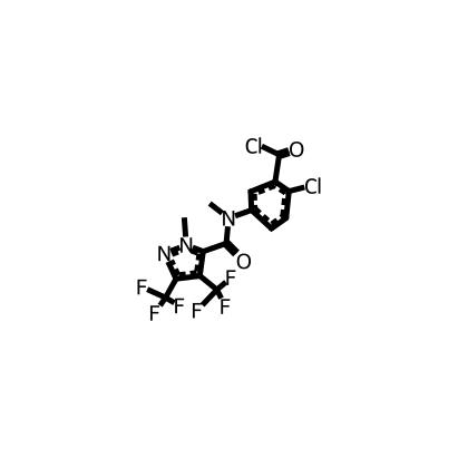 CN(C(=O)c1c(C(F)(F)F)c(C(F)(F)F)nn1C)c1ccc(Cl)c(C(=O)Cl)c1